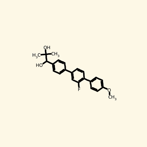 COc1ccc(-c2ccc(-c3ccc(C(O)C(C)(C)O)cc3)cc2F)cc1